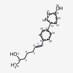 CC(O)CCC/C=C/c1ccc(-c2ccc(O)nn2)cc1